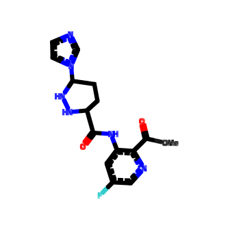 COC(=O)c1ncc(F)cc1NC(=O)C1CCC(n2ccnc2)NN1